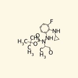 CC(C=O)N(Nc1cccc(F)c1NC1CC1)C(=O)OC(C)(C)C